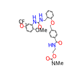 CNC(=O)OCCNC(=O)c1ccc(COc2ccccc2CNC(=O)Nc2cc(OC(F)(F)F)ccc2OC)cc1